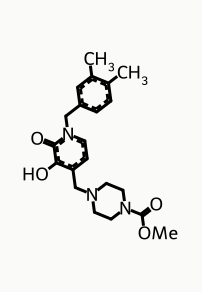 COC(=O)N1CCN(Cc2ccn(Cc3ccc(C)c(C)c3)c(=O)c2O)CC1